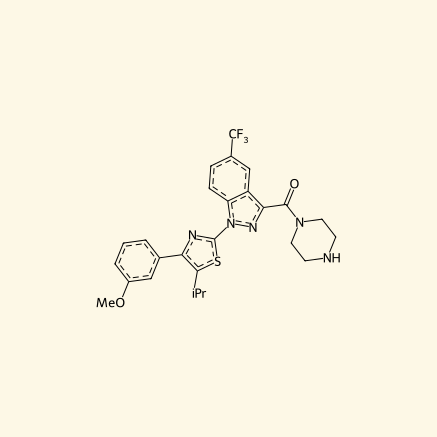 COc1cccc(-c2nc(-n3nc(C(=O)N4CCNCC4)c4cc(C(F)(F)F)ccc43)sc2C(C)C)c1